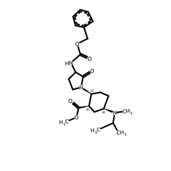 COC(=O)[C@@H]1C[C@H](N(C)C(C)C)CC[C@@H]1N1CCC(NC(=O)OCc2ccccc2)C1=O